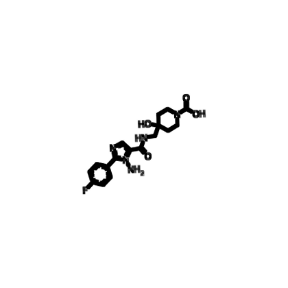 Nn1c(C(=O)NCC2(O)CCN(C(=O)O)CC2)cnc1-c1ccc(F)cc1